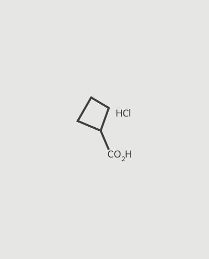 Cl.O=C(O)C1CCC1